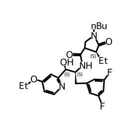 CCCCN1CC(C(=O)N[C@@H](Cc2cc(F)cc(F)c2)[C@H](O)c2cc(OCC)ccn2)[C@H](CC)C1=O